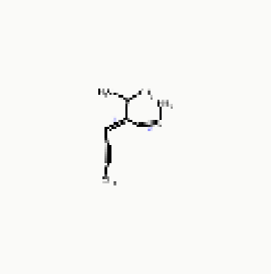 CC#C/C=C(\C=N/N)C(C)C